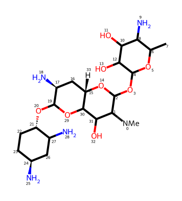 CNC1C(OC2OC(C)C(N)C(O)C2O)O[C@H]2C[C@H](N)C(O[C@H]3CC[C@H](N)CC3N)OC2C1O